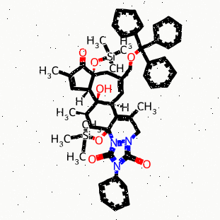 CC1=C[C@H]2[C@@]3(O)[C@H](C)CC4(O[Si](C)(C)C)C(=C(C)Cn5c(=O)n(-c6ccccc6)c(=O)n54)[C@@H]3C=C(COC(c3ccccc3)(c3ccccc3)c3ccccc3)C[C@]2(O[Si](C)(C)C)C1=O